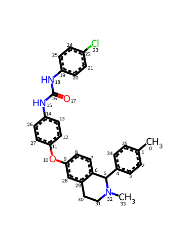 Cc1ccc(C2c3ccc(Oc4ccc(NC(=O)Nc5ccc(Cl)cc5)cc4)cc3CCN2C)cc1